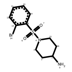 NC1CCN(S(=O)(=O)c2ccccc2Br)CC1